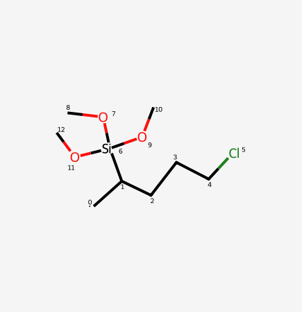 [CH2]C(CCCCl)[Si](OC)(OC)OC